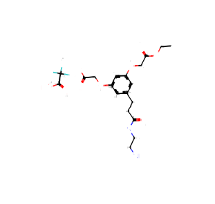 CCOC(=O)COc1cc(CCC(=O)NCCN)cc(OCC(=O)O)c1.O=C(O)C(F)(F)F